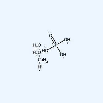 O.O.O=P(O)(O)O.[CaH2].[H+]